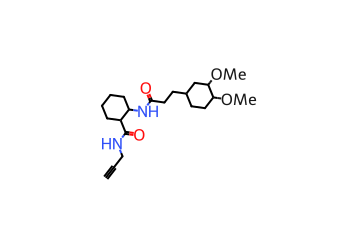 C#CCNC(=O)C1CCCCC1NC(=O)CCC1CCC(OC)C(OC)C1